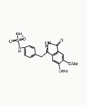 COc1cc2c(Cc3ccc(NS(N)(=O)=O)cc3)n[nH]c(=O)c2cc1OC